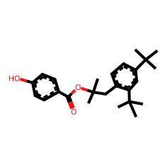 CC(C)(Cc1ccc(C(C)(C)C)cc1C(C)(C)C)OC(=O)c1ccc(O)cc1